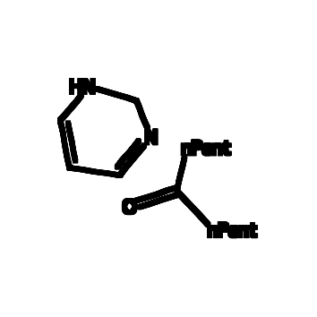 C1=CNCN=C1.CCCCCC(=O)CCCCC